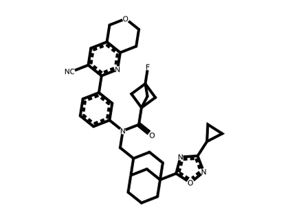 N#Cc1cc2c(nc1-c1cccc(N(CC3CCC4(c5nc(C6CC6)no5)CCCC3C4)C(=O)C34CC(F)(C3)C4)c1)CCOC2